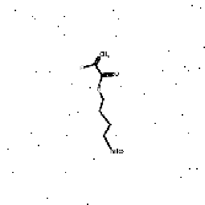 C=C(F)C(=O)OCCCCCCCCCC